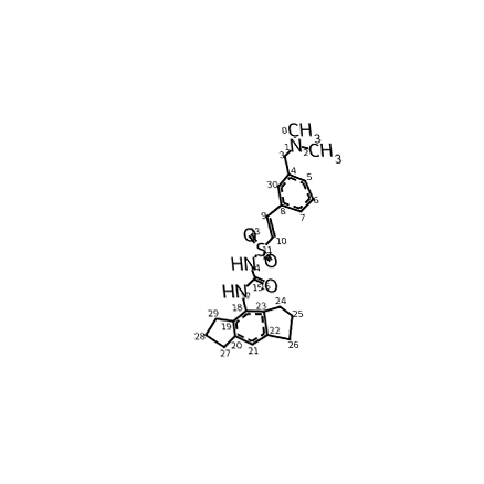 CN(C)Cc1cccc(/C=C/S(=O)(=O)NC(=O)Nc2c3c(cc4c2CCC4)CCC3)c1